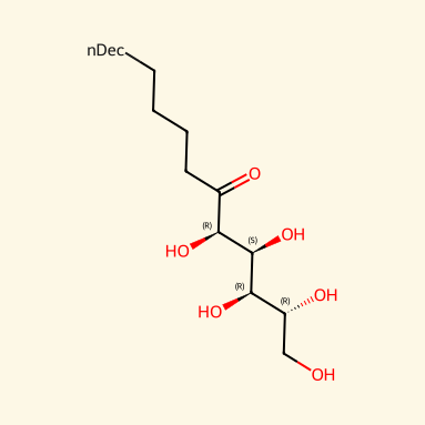 CCCCCCCCCCCCCCC(=O)[C@H](O)[C@@H](O)[C@H](O)[C@H](O)CO